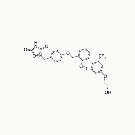 Cc1c(COc2ccc(Cn3oc(=O)[nH]c3=O)cc2)cccc1-c1ccc(OCCO)cc1C(F)(F)F